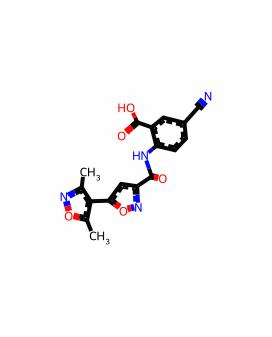 Cc1noc(C)c1-c1cc(C(=O)Nc2ccc(C#N)cc2C(=O)O)no1